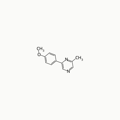 COc1ccc(-c2cncc(C)n2)cc1